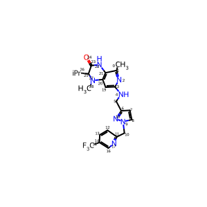 Cc1nc(NCc2ccn(Cc3ccc(C(F)(F)F)cn3)n2)cc2c1NC(=O)C(C(C)C)N2C